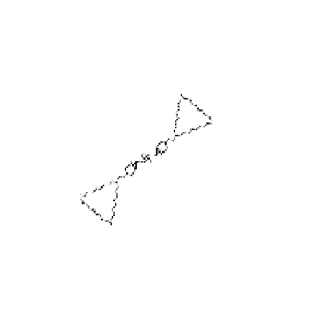 CCCCCCCCCC(CCCCCCCC1CC1CCCCCCCC)CCC1CCN(CCSSCCN2CCC(CCC(CCCCCCCCC)CCCCCCCC3CC3CCCCCCCC)CC2)CC1